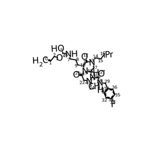 C=CCOC(O)NCCC[C@H]1C(=O)N(CCC(C)C)C[C@H]2N1C(=O)CN(C)N2C(=O)NCc1ccc(F)cc1